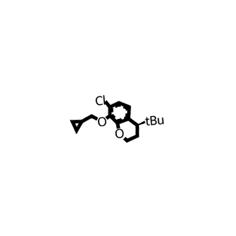 CC(C)(C)[C@H]1CCOc2c1ccc(Cl)c2OCC1CC1